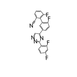 N#Cc1cccc(F)c1-c1cc(-c2cnnc(-c3ccc(F)cc3F)n2)ccc1F